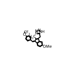 COc1ccc2c(c1)C(Cc1nnn[nH]1)=C(C)C2=Cc1ccc(OC(F)(F)F)cc1